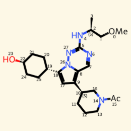 COC[C@H](C)Nc1ncc2c([C@@H]3CCCN(C(C)=O)C3)cc([C@H]3CC[C@H](O)CC3)n2n1